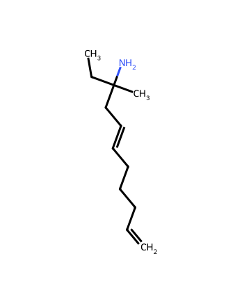 C=CCCC/C=C/CC(C)(N)CC